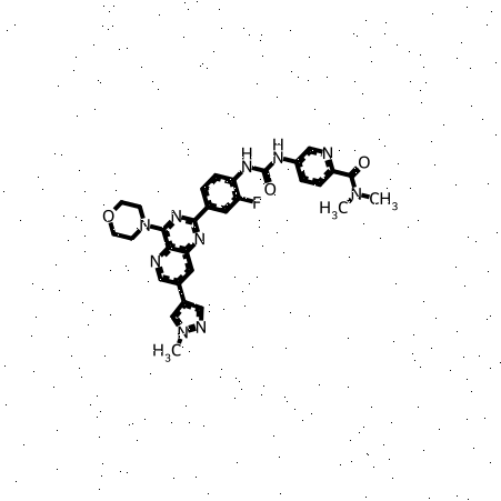 CN(C)C(=O)c1ccc(NC(=O)Nc2ccc(-c3nc(N4CCOCC4)c4ncc(-c5cnn(C)c5)cc4n3)cc2F)cn1